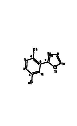 Fc1ccc(F)c(-c2nc[c]o2)c1